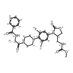 COC(=O)NCC1COC(=O)N1c1cc(F)c(N2CCN(C(=O)[C@H](C)NC(=O)c3cccnc3)CC2)c(F)c1